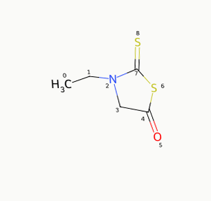 CCN1CC(=O)SC1=S